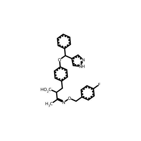 CC(=NOCc1ccc(F)cc1)C(Cc1ccc(OC(c2ccccc2)c2cn[nH]c2)cc1)C(=O)O